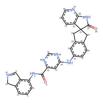 O=C(Nc1cccc2c1C=NC2)c1cc(Nc2ccc3c(c2)CC2(C3)C(=O)Nc3ncccc32)ncn1